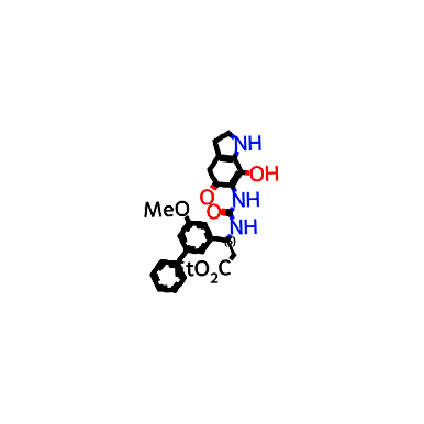 CCOC(=O)C[C@H](NC(=O)NC1=C(O)C2=C(CCN2)CC1=O)c1cc(OC)cc(-c2ccccc2)c1